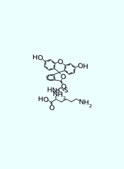 N=C=S.NCCCC[C@H](N)C(=O)O.O=C1OC2(c3ccc(O)cc3Oc3cc(O)ccc32)c2ccccc21